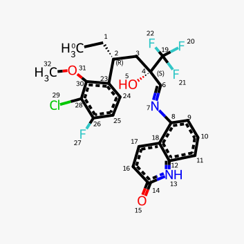 CC[C@H](C[C@](O)(C=Nc1cccc2[nH]c(=O)ccc12)C(F)(F)F)c1ccc(F)c(Cl)c1OC